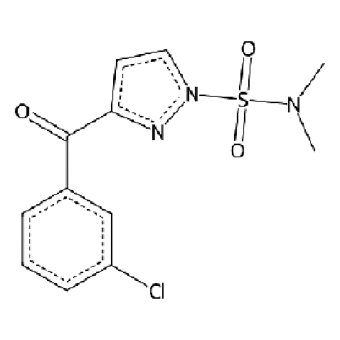 CN(C)S(=O)(=O)n1ccc(C(=O)c2cccc(Cl)c2)n1